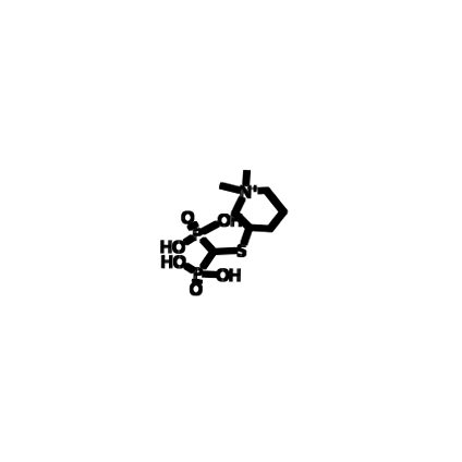 C[N+]1(C)CCCC(SC(P(=O)(O)O)P(=O)(O)O)C1